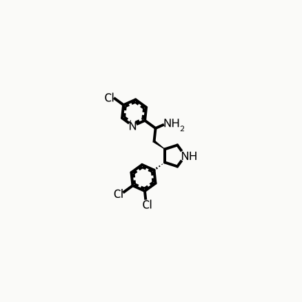 NC(C[C@H]1CNC[C@@H]1c1ccc(Cl)c(Cl)c1)c1ccc(Cl)cn1